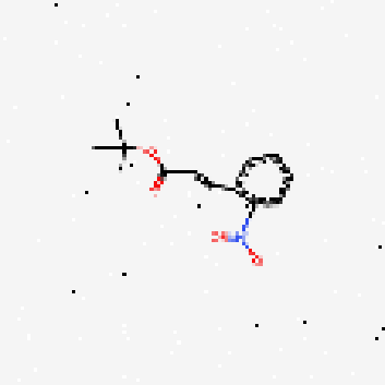 CC(C)(C)OC(=O)C=Cc1ccccc1[N+](=O)[O-]